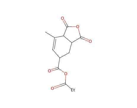 CCC(=O)OC(=O)C1C=C(C)C2C(=O)OC(=O)C2C1